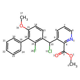 COC(=O)c1ncccc1C(Cl)c1ccc(OC)c(-c2ccccc2)c1F